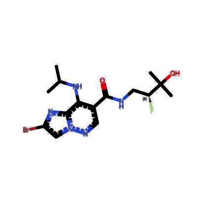 CC(C)Nc1c(C(=O)NC[C@@H](F)C(C)(C)O)cnn2cc(Br)nc12